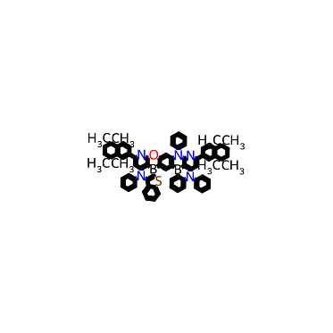 CC1(C)CCC(C)(C)c2cc(-c3cc4c5c(n3)Oc3cc6c(cc3B5c3sc5ccccc5c3N4c3ccccc3)B3c4ccccc4N(c4ccccc4)c4cc(-c5ccc7c(c5)C(C)(C)CCC7(C)C)nc(c43)N6c3ccccc3)ccc21